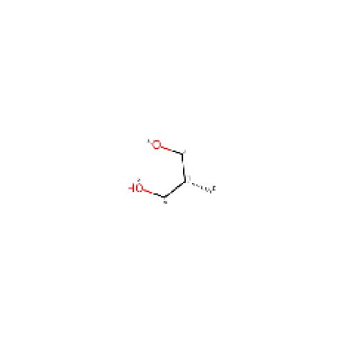 C[C@@H](C[O])CO